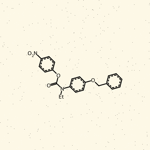 CCN(C(=O)Oc1ccc([N+](=O)[O-])cc1)c1ccc(OCc2ccccc2)cc1